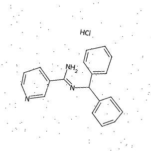 Cl.NC(=NC(c1ccccc1)c1ccccc1)c1cccnc1